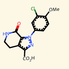 COc1ccc(-n2nc(C(=O)O)c3c2C(=O)NCC3)cc1Cl